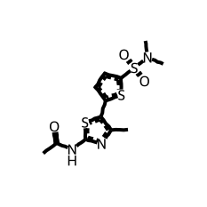 CC(=O)Nc1nc(C)c(-c2ccc(S(=O)(=O)N(C)C)s2)s1